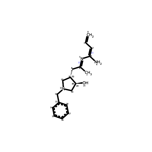 C=C/C=C(N)\N=C(/C)C[C@H]1CN(Cc2ccccc2)C[C@@H]1O